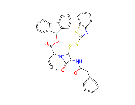 C=CC(C(=O)OC1c2ccccc2-c2ccccc21)N1C(=O)C(NC(=O)Cc2ccccc2)C1SSc1nc2ccccc2s1